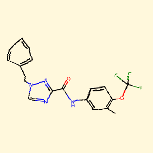 Cc1cc(NC(=O)c2ncn(Cc3ccccc3)n2)ccc1OC(F)(F)F